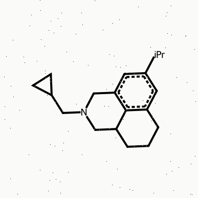 CC(C)c1cc2c3c(c1)CN(CC1CC1)CC3CCC2